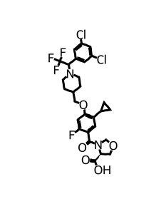 O=C(O)[C@@H]1COCN1C(=O)c1cc(C2CC2)c(OCC2CCN(C(c3cc(Cl)cc(Cl)c3)C(F)(F)F)CC2)cc1F